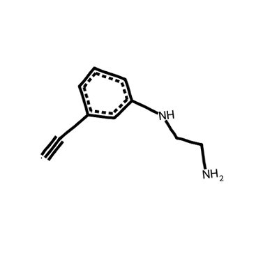 [C]#Cc1cccc(NCCN)c1